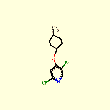 FC(F)(F)C1CCC(COc2cc(Cl)ncc2Br)CC1